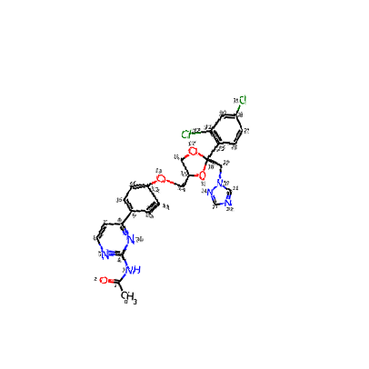 CC(=O)Nc1nccc(-c2ccc(OCC3COC(Cn4cncn4)(c4ccc(Cl)cc4Cl)O3)cc2)n1